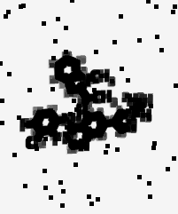 [2H]C([2H])([2H])n1cc(-c2cc(OC(C)c3cc4ccccc4n3C)c3c(Nc4ccc(F)c(Cl)c4F)ncnc3c2)cn1